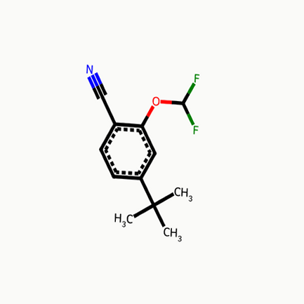 CC(C)(C)c1ccc(C#N)c(OC(F)F)c1